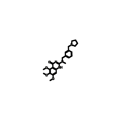 COc1cc2[nH]c(N(C)Cc3cccc(CN4CCCC4)c3)nc(=O)c2c(OC)c1OC